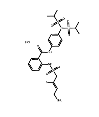 CC(C)S(=O)(=O)N(c1ccc(NC(=O)c2ccccc2NS(=O)(=O)C/C(F)=C/CN)cc1)S(=O)(=O)C(C)C.Cl